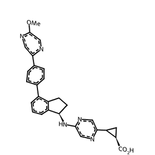 COc1cnc(-c2ccc(-c3cccc4c3CC[C@H]4Nc3cnc(C4C[C@H]4C(=O)O)cn3)cc2)cn1